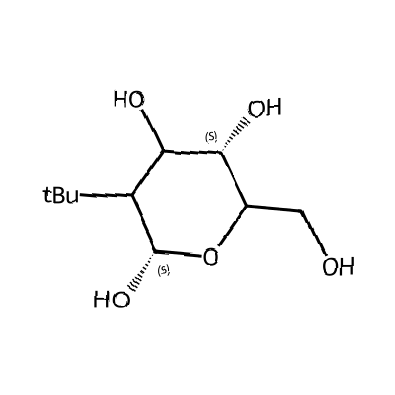 CC(C)(C)C1C(O)[C@H](O)C(CO)O[C@@H]1O